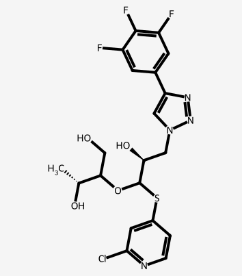 C[C@@H](O)C(CO)OC(Sc1ccnc(Cl)c1)[C@@H](O)Cn1cc(-c2cc(F)c(F)c(F)c2)nn1